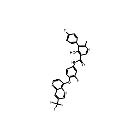 Cc1ncc(C(=O)Nc2ccc(Oc3ccnc4cc(C(F)(F)F)cnc34)c(F)c2)c(O)c1-c1ccc(F)cc1